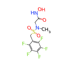 CN(CC(=O)NO)S(=O)(=O)Cc1c(F)c(F)c(F)c(F)c1F